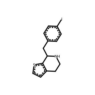 Ic1ccc(CC2NCCc3ccsc32)cc1